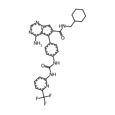 Nc1ncnn2cc(C(=O)NCC3CCCCC3)c(-c3ccc(NC(=O)Nc4cccc(C(F)(F)F)n4)cc3)c12